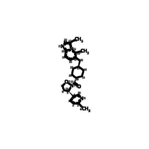 Cc1ccc([C@@H]2CCON2C(=O)[C@H]2CC[C@H](Cc3ccc4nnc(C)n4c3C)CC2)cn1